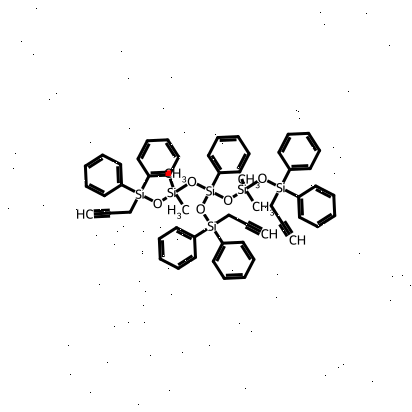 C#CC[Si](O[Si](C)(C)O[Si](O[Si](C)(C)O[Si](CC#C)(c1ccccc1)c1ccccc1)(O[Si](CC#C)(c1ccccc1)c1ccccc1)c1ccccc1)(c1ccccc1)c1ccccc1